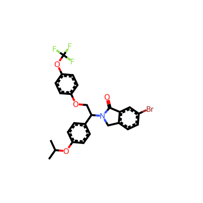 CC(C)Oc1ccc(C(COc2ccc(OC(F)(F)F)cc2)N2Cc3ccc(Br)cc3C2=O)cc1